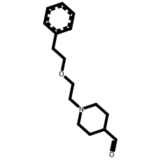 O=CC1CCN(CCOCCc2ccccc2)CC1